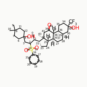 C[C@H](C(CC1(O)CCC(C)(C)CC1)S(=O)(=O)c1ccccc1)[C@H]1CC[C@H]2[C@@H]3CC[C@@H]4C[C@](O)(C(F)(F)F)CC[C@]4(C)[C@H]3C(=O)C[C@]12C